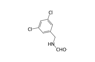 O=[C]NCc1cc(Cl)cc(Cl)c1